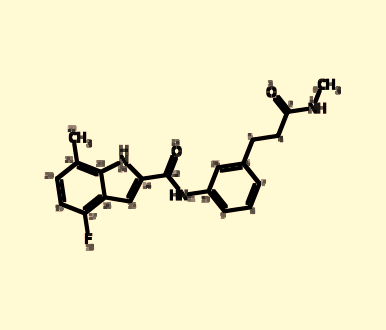 CNC(=O)CCc1cccc(NC(=O)c2cc3c(F)ccc(C)c3[nH]2)c1